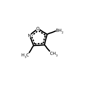 Bc1onc(C)c1C